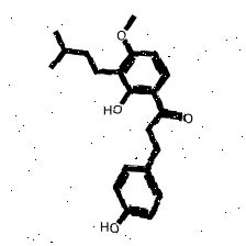 COc1ccc(C(=O)CCc2ccc(O)cc2)c(O)c1CCC(C)C